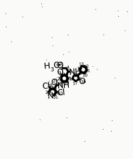 COC(=O)CC(NC1=C(c2ccccc2)C(=O)CC1)c1ccc(NC(=O)c2c(Cl)cncc2Cl)cc1